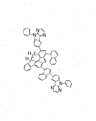 Cc1c(-c2ccc3c(c2)c2nccnc2n3-c2ccccc2)cc(-c2cccc3ccccc23)c2sc3c(-c4ccc(-c5ccc6c(c5)c5nccnc5n6-c5ccccc5)c5ccccc45)cc(-c4ccccc4)c(C)c3c12